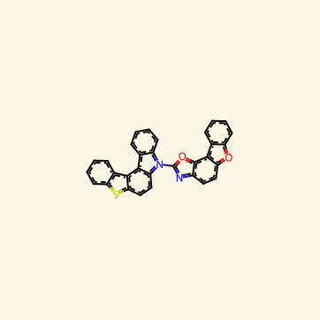 c1ccc2c(c1)oc1ccc3nc(-n4c5ccccc5c5c6c(ccc54)sc4ccccc46)oc3c12